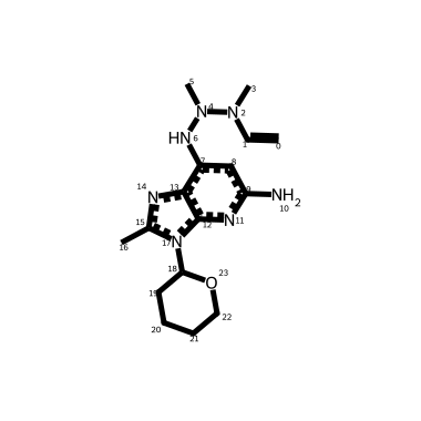 C=CN(C)N(C)Nc1cc(N)nc2c1nc(C)n2C1CCCCO1